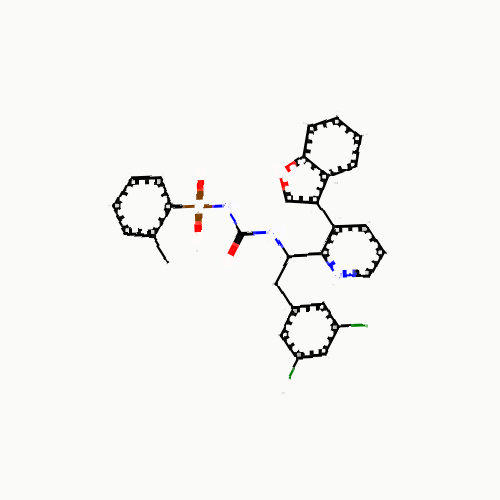 Cc1ccccc1S(=O)(=O)NC(=O)NC(Cc1cc(F)cc(F)c1)c1ncccc1-c1coc2ccccc12